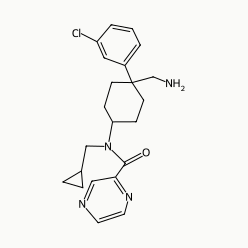 NCC1(c2cccc(Cl)c2)CCC(N(CC2CC2)C(=O)c2cnccn2)CC1